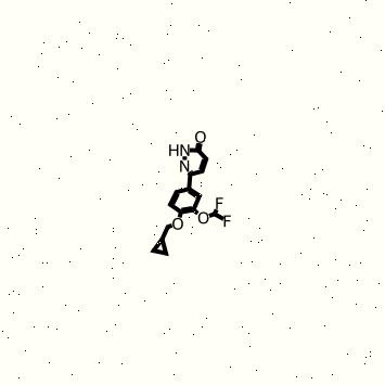 O=c1ccc(-c2ccc(OCC3CC3)c(OC(F)F)c2)n[nH]1